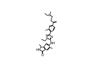 C=C(CCN(C)CC)c1ccc(-c2nc(Nc3cc4c(cc3C)C(=O)NC4C)n(CC)n2)c(C)c1